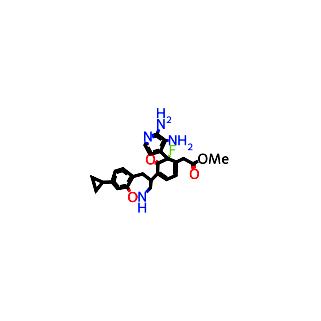 COC(=O)CC1=CC=C(C2CNOc3cc(C4CC4)ccc3C2)C(=O)C1(F)c1ccnc(N)c1N